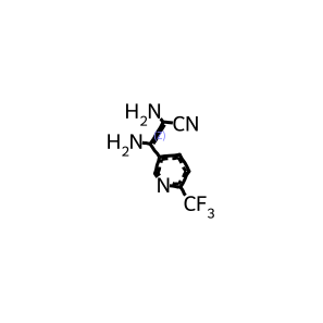 N#C/C(N)=C(/N)c1ccc(C(F)(F)F)nc1